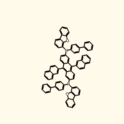 C1=CC2Oc3c(cccc3N(c3ccc(-c4ccccc4)cc3)c3ccc4c(-c5ccc6ccccc6c5)c5cc(N(c6ccc(-c7ccccc7)cc6)c6cccc7c6oc6ccccc67)ccc5c(-c5ccc6ccccc6c5)c4c3)C2C=C1